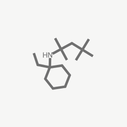 CCC1(NC(C)(C)CC(C)(C)C)CCCCC1